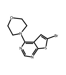 Brc1cc2c(N3CCOCC3)ncnc2s1